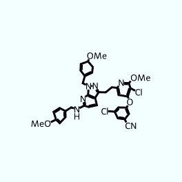 COc1ccc(CNc2ccc3c(CCc4cc(Oc5cc(Cl)cc(C#N)c5)c(Cl)c(OC)n4)nn(CC4=CCC(OC)C=C4)c3n2)cc1